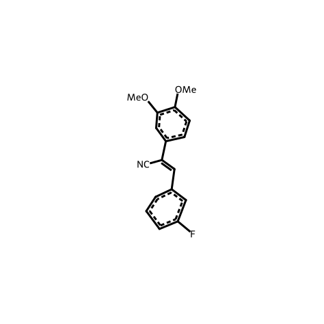 COc1ccc(/C(C#N)=C/c2cccc(F)c2)cc1OC